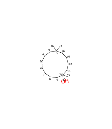 CC1(C)CCCCCCCC(C)(O)CCCC1